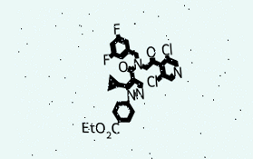 CCOC(=O)[C@H]1CC[C@H](n2ncc(C(=O)N(CC(=O)c3c(Cl)cncc3Cl)Cc3cc(F)cc(F)c3)c2C2CC2)CC1